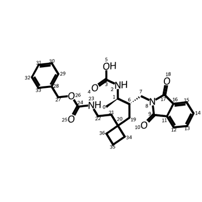 C[C@@H](NC(=O)O)[C@H](CN1C(=O)c2ccccc2C1=O)CC1(CCNC(=O)OCc2ccccc2)CCC1